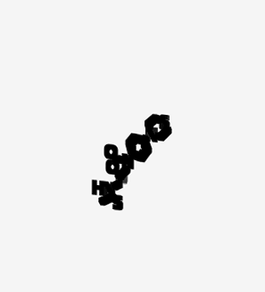 CC(=S)NC[C@H]1CN(c2ccc(N3CCSCC3)cc2)C(=O)O1